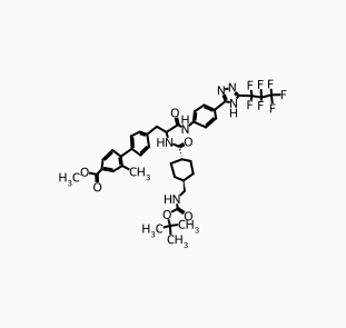 COC(=O)c1ccc(-c2ccc(CC(NC(=O)[C@H]3CC[C@H](CNC(=O)OC(C)(C)C)CC3)C(=O)Nc3ccc(-c4nnc(C(F)(F)C(F)(F)C(F)(F)F)[nH]4)cc3)cc2)c(C)c1